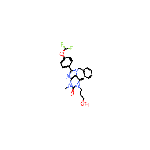 C=C1c2c(nc(-c3ccc(OC(F)F)cc3)n2Cc2ccccc2)N(C)C(=O)N1CCCO